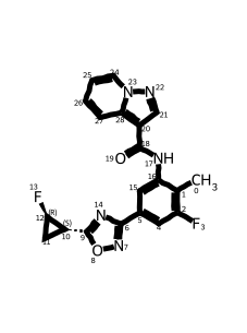 Cc1c(F)cc(-c2noc([C@@H]3C[C@H]3F)n2)cc1NC(=O)c1cnn2ccccc12